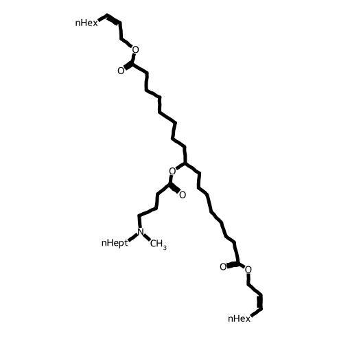 CCCCCC/C=C\COC(=O)CCCCCCCC(CCCCCCCC(=O)OC/C=C\CCCCCC)OC(=O)CCCN(C)CCCCCCC